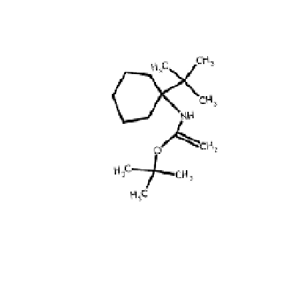 C=C(NC1(C(C)(C)C)CCCCC1)OC(C)(C)C